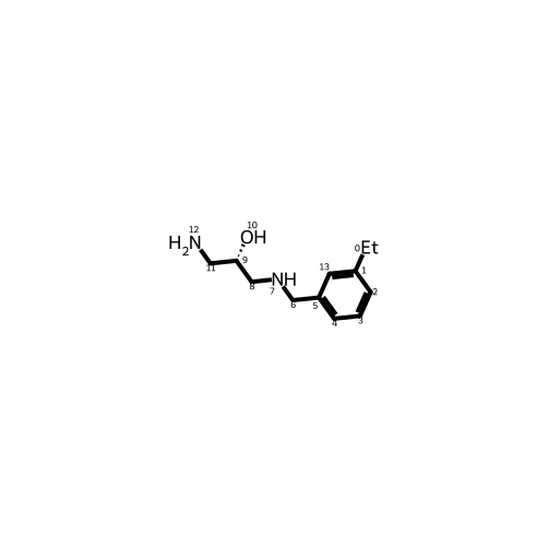 CCc1cccc(CNC[C@@H](O)CN)c1